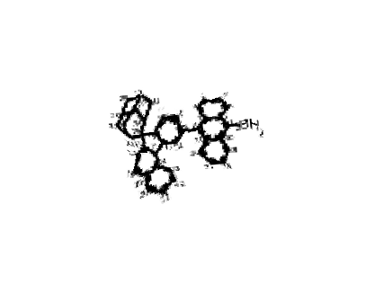 Bc1c2ccccc2c(-c2ccc3c(c2)-c2c(ccc4ccccc24)C32C3CC4CC(C3)CC2C4)c2ccccc12